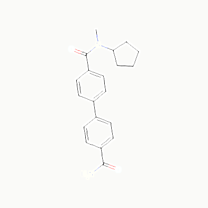 CN(C(=O)c1ccc(-c2ccc(C(N)=O)cc2)cc1)C1CCCC1